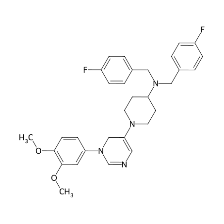 COc1ccc(N2C=NC=C(N3CCC(N(Cc4ccc(F)cc4)Cc4ccc(F)cc4)CC3)C2)cc1OC